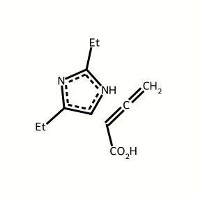 C=C=CC(=O)O.CCc1c[nH]c(CC)n1